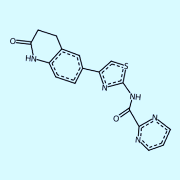 O=C1CCc2cc(-c3csc(NC(=O)c4ncccn4)n3)ccc2N1